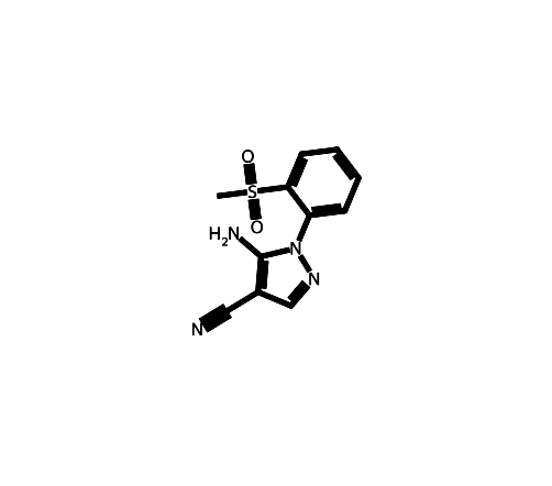 CS(=O)(=O)c1ccccc1-n1ncc(C#N)c1N